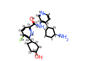 N[C@H]1CCC[C@@H](c2ccncc2NC(=O)c2ccc(F)c(C3CCC(O)CC3)n2)C1